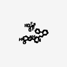 O=C(O)C(F)(F)F.O=C1NCCc2[nH]c(-c3ccnc(/C=C/c4ccccc4-c4ccccc4)c3)cc21